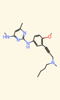 CCCCN(C)CC#Cc1cc(Nc2nc(C)cc(NC)n2)ccc1OC